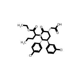 CCCC(C(=O)OCC)N1C(=O)[C@H](CC(=O)O)C[C@@H](c2cccc(Cl)c2)[C@@H]1c1ccc(Cl)cc1